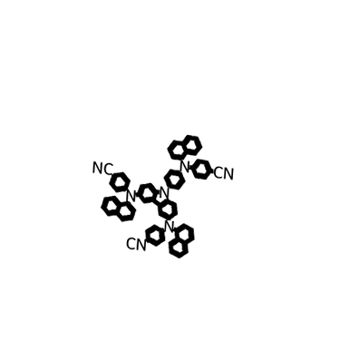 [C-]#[N+]c1ccc(N(c2ccc3c(c2)c2cc(N(c4ccc(C#N)cc4)c4cccc5ccccc45)ccc2n3-c2ccc(N(c3ccc(C#N)cc3)c3cccc4ccccc34)cc2)c2cccc3ccccc23)cc1